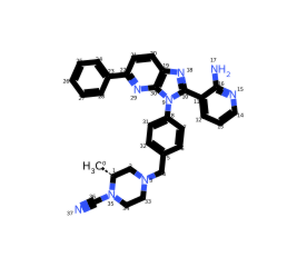 C[C@@H]1CN(Cc2ccc(-n3c(-c4cccnc4N)nc4ccc(-c5ccccc5)nc43)cc2)CCN1C#N